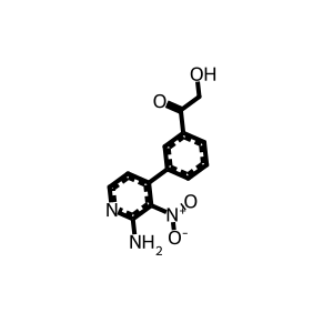 Nc1nccc(-c2cccc(C(=O)CO)c2)c1[N+](=O)[O-]